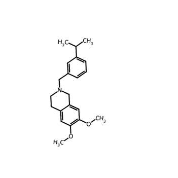 COc1cc2c(cc1OC)CN(Cc1cccc(C(C)C)c1)CC2